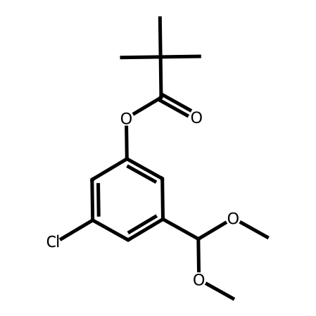 COC(OC)c1cc(Cl)cc(OC(=O)C(C)(C)C)c1